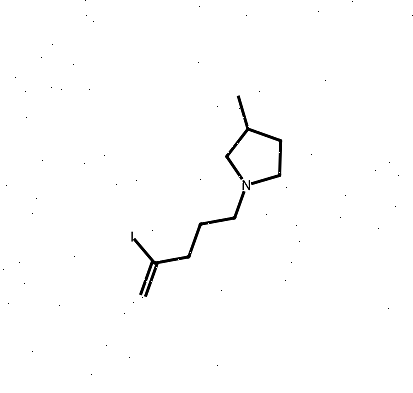 C=C(I)CCCN1CCC(C)C1